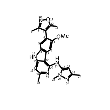 COc1cc2c(cc1-c1c(C)noc1C)[nH]c1nc(C)nc(Nc3cc(C)nn3C)c12